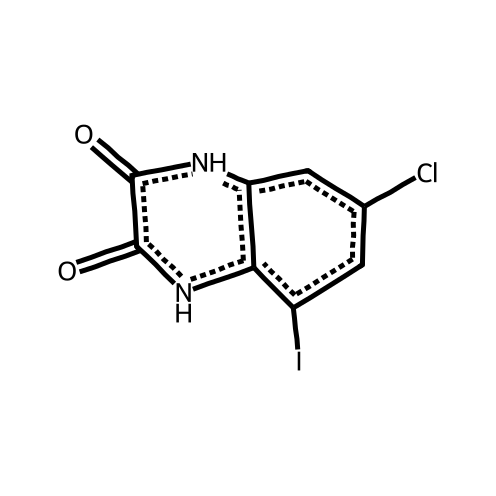 O=c1[nH]c2cc(Cl)cc(I)c2[nH]c1=O